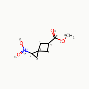 COC(=O)C1CC2(C1)CC2[N+](=O)[O-]